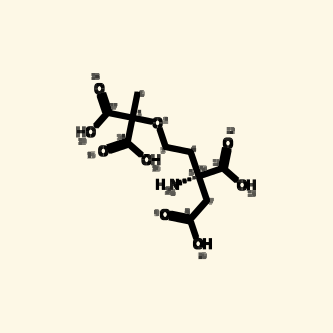 CC(OCC[C@](N)(CC(=O)O)C(=O)O)(C(=O)O)C(=O)O